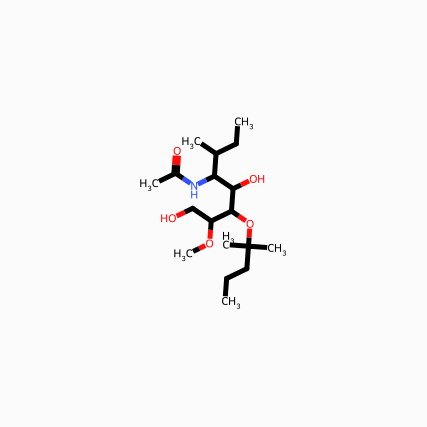 CCCC(C)(C)OC(C(CO)OC)C(O)C(NC(C)=O)C(C)CC